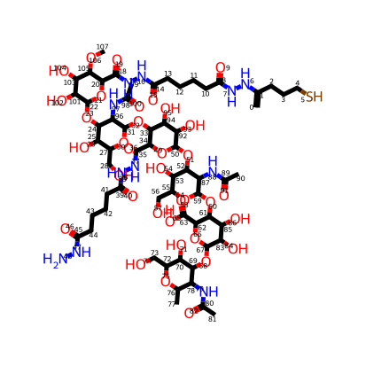 C=C(CCCS)NNC(=O)CCCCC(=O)NNC(=O)C1OC(OC2C(O)C(CO)OC(OC3C(C(=O)NNC(=O)CCCCC(=O)NN)OC(OC4C(O)C(CO)OC(OC5C(C(=O)O)OC(OC6C(O)C(CO)OC(C)C6NC(C)=O)C(O)C5O)C4NC(C)=O)C(O)C3O)C2NC(C)=O)C(O)C(O)C1OC